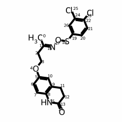 CC(CCOc1ccc2c(c1)CCC(=O)N2)=NOSc1ccc(Cl)c(Cl)c1